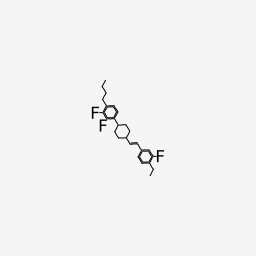 CCCCc1ccc(C2CCC(/C=C/c3ccc(CC)c(F)c3)CC2)c(F)c1F